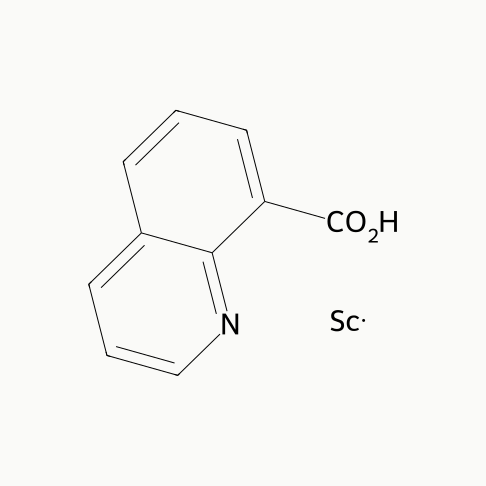 O=C(O)c1cccc2cccnc12.[Sc]